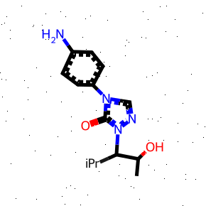 CC(C)C(C(C)O)n1ncn(-c2ccc(N)cc2)c1=O